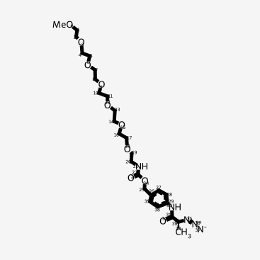 COCCOCCOCCOCCOCCOCCOCCNC(=O)OCc1ccc(NC(=O)[C@H](C)N=[N+]=[N-])cc1